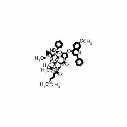 C=C[C@@H]1C[C@]1(N)C(=O)N(C(=O)[C@@H]1CC(Oc2cc(-c3ccccc3)nc3cc(OC)ccc23)CN1C(=O)[C@H](CNC(=O)C=CCN(C)C)NC(=O)OC(C)(C)C)S(=O)(=O)c1ccccc1